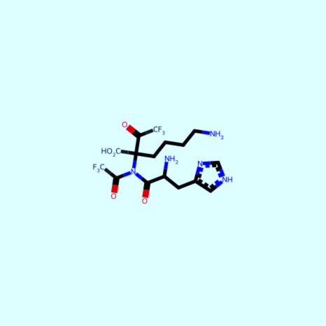 NCCCCC(C(=O)O)(C(=O)C(F)(F)F)N(C(=O)C(N)Cc1c[nH]cn1)C(=O)C(F)(F)F